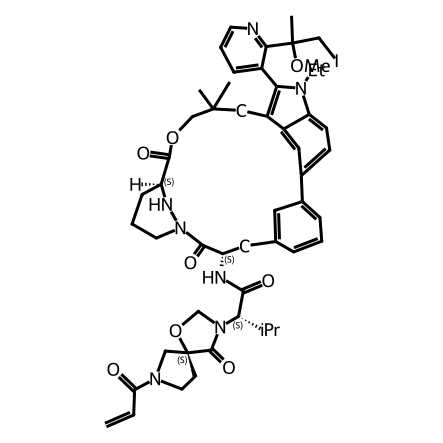 C=CC(=O)N1CC[C@@]2(C1)OCN([C@H](C(=O)N[C@H]1Cc3cccc(c3)-c3ccc4c(c3)c(c(-c3cccnc3C(C)(CI)OC)n4CC)CC(C)(C)COC(=O)[C@@H]3CCCN(N3)C1=O)C(C)C)C2=O